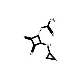 NC(=O)C[C@@H]1[C](NC2CC2)C(=O)C1=O